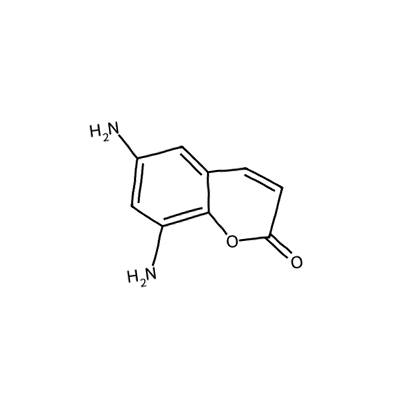 Nc1cc(N)c2oc(=O)ccc2c1